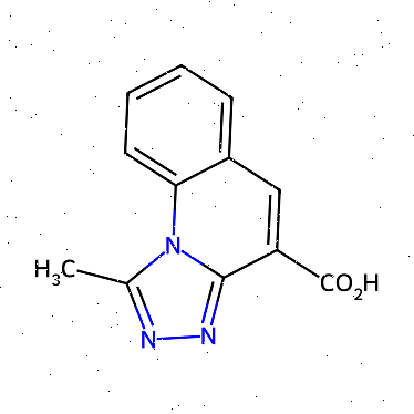 Cc1nnc2c(C(=O)O)cc3ccccc3n12